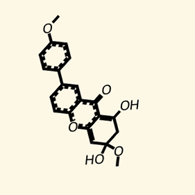 COc1ccc(-c2ccc3oc4c(c(=O)c3c2)=C(O)CC(O)(OC)C=4)cc1